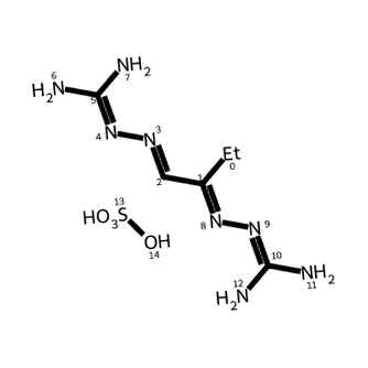 CCC(/C=N/N=C(N)N)=N\N=C(N)N.O=S(=O)(O)O